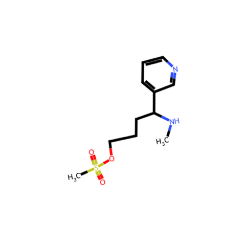 CNC(CCCOS(C)(=O)=O)c1cccnc1